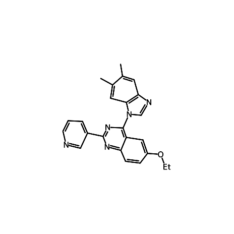 CCOc1ccc2nc(-c3cccnc3)nc(-n3cnc4cc(C)c(C)cc43)c2c1